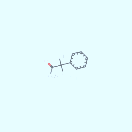 COC(=O)C(C)(C)c1ccccc1.Cl